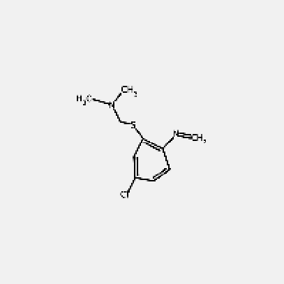 C=Nc1ccc(Cl)cc1SCN(C)C